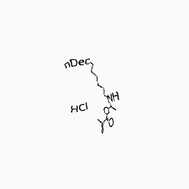 C=C(C)C(=O)OC(C)NCCCCCCCCCCCCCCCC.Cl